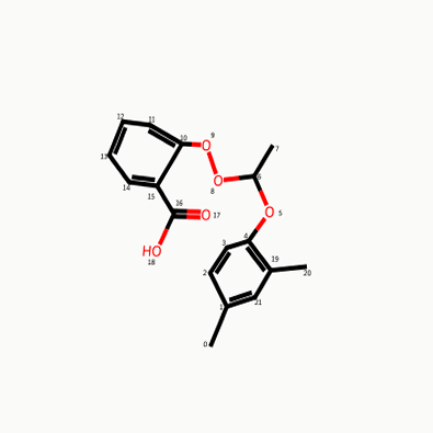 Cc1ccc(OC(C)OOc2ccccc2C(=O)O)c(C)c1